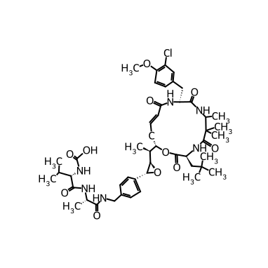 COc1ccc(C[C@H]2NC(=O)/C=C/C[C@@H]([C@H](C)[C@H]3O[C@@H]3c3ccc(CNC(=O)[C@H](C)NC(=O)[C@@H](NC(=O)O)C(C)C)cc3)OC(=O)[C@H](CC(C)(C)C)NC(=O)C(C)(C)C(C)NC2=O)cc1Cl